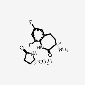 N[C@H]1CCc2cc(F)cc(F)c2NC1=O.O=C1CC[C@@H](C(=O)O)N1